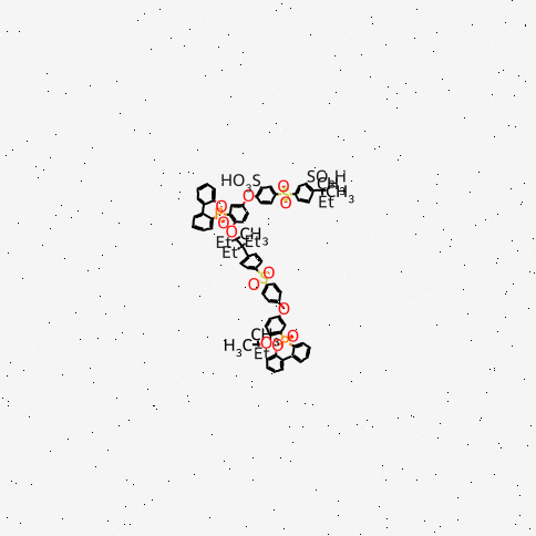 CCC(C)(C)Oc1ccc(Oc2ccc(S(=O)(=O)c3ccc(C(CC)(CC)C(C)(CC)Oc4ccc(Oc5ccc(S(=O)(=O)c6ccc(C(C)(C)CC)c(S(=O)(=O)O)c6)cc5S(=O)(=O)O)cc4P4(=O)Oc5ccccc5-c5ccccc54)cc3)cc2)cc1P1(=O)Oc2ccccc2-c2ccccc21